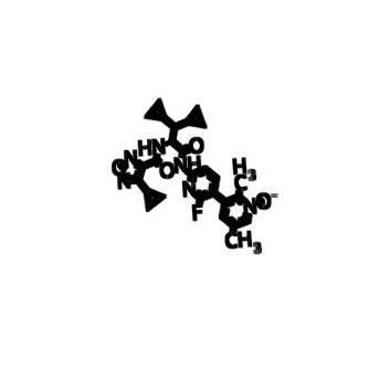 Cc1cc(-c2ccc(NC(=O)[C@@H](NC(=O)c3nonc3C3CC3)C(C3CC3)C3CC3)nc2F)c(C)[n+]([O-])c1